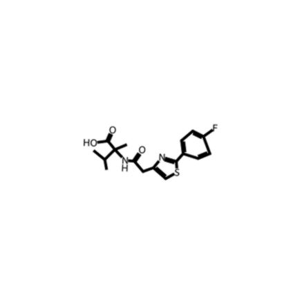 CC(C)C(C)(NC(=O)Cc1csc(-c2ccc(F)cc2)n1)C(=O)O